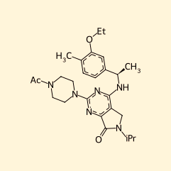 CCOc1cc([C@@H](C)Nc2nc(N3CCN(C(C)=O)CC3)nc3c2CN(C(C)C)C3=O)ccc1C